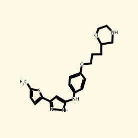 FC(F)(F)c1ccc(-c2cc(Nc3ccc(OCCCC4CNCCO4)cc3)[nH]n2)s1